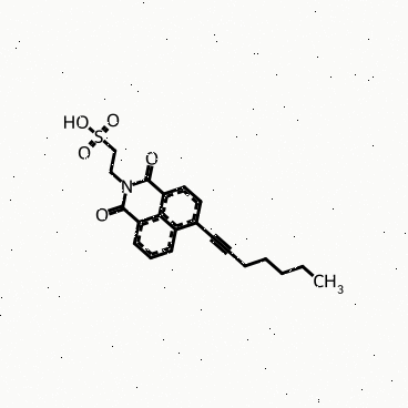 CCCCCC#Cc1ccc2c3c(cccc13)C(=O)N(CCS(=O)(=O)O)C2=O